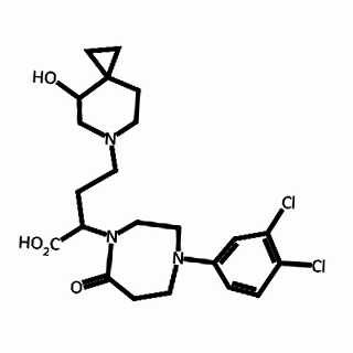 O=C(O)C(CCN1CCC2(CC2)C(O)C1)N1CCN(c2ccc(Cl)c(Cl)c2)CCC1=O